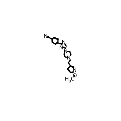 COc1ccc(CCN2CCN(c3nc(-c4ccc(C#N)cc4)ns3)CC2)cn1